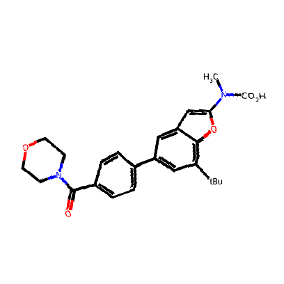 CN(C(=O)O)c1cc2cc(-c3ccc(C(=O)N4CCOCC4)cc3)cc(C(C)(C)C)c2o1